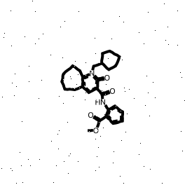 COC(=O)c1ccccc1NC(=O)c1cc2c(n(CC3CCCCC3)c1=O)CCCCCC2